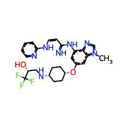 Cn1cnc2c(NC(=N)/C=C\Nc3ccccn3)cc(O[C@H]3CC[C@@H](NC[C@@H](O)C(F)(F)F)CC3)cc21